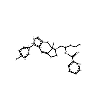 CCCC(C[C@H]1CCC2=Cc3c(cnn3-c3ccc(F)cc3)C[C@@]21C)NC(=O)c1ccccn1